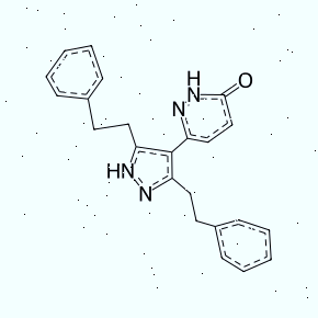 O=c1ccc(-c2c(CCc3ccccc3)n[nH]c2CCc2ccccc2)n[nH]1